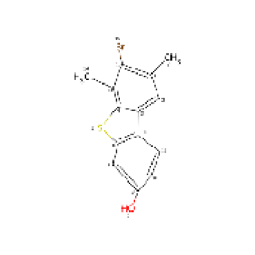 Cc1cc2c(sc3cc(O)ccc32)c(C)c1Br